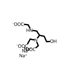 O=C([O-])CNCC(CCO)N(CC(=O)[O-])CC(=O)[O-].[Na+].[Na+].[Na+]